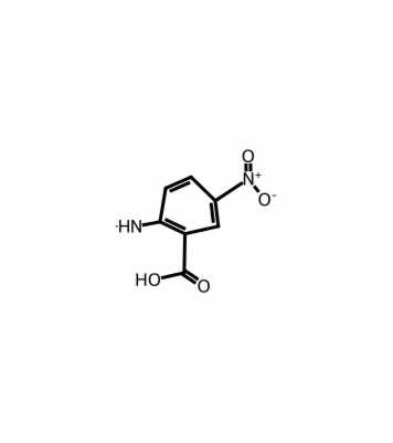 [NH]c1ccc([N+](=O)[O-])cc1C(=O)O